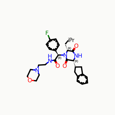 CC(C)C[C@@H]1C(=O)N[C@H](C2Cc3ccccc3C2)C(=O)N1[C@@H](C(=O)NCCN1CCOCC1)c1ccc(F)cc1